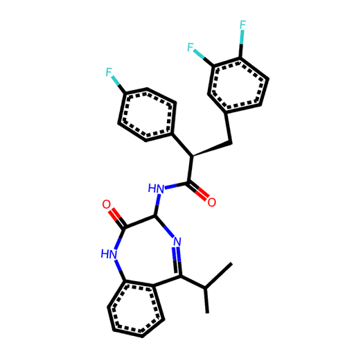 CC(C)C1=NC(NC(=O)[C@H](Cc2ccc(F)c(F)c2)c2ccc(F)cc2)C(=O)Nc2ccccc21